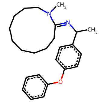 CC(N=C1CCCCCCCCCN1C)c1ccc(Oc2ccccc2)cc1